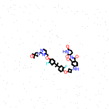 CC(C)(c1ccc(OCc2ccnc(N3CC4(COC4)C3)n2)c(F)c1)c1ccc(O[C@H]2C[C@@H](Nc3ccc4c(c3)C(=O)N(C3CCC(=O)NC3=O)C4=O)C2)c(F)c1